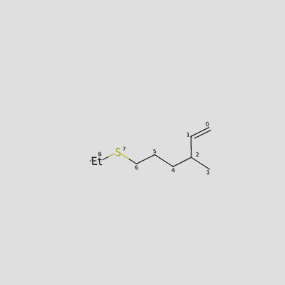 C=CC(C)CCCS[CH]C